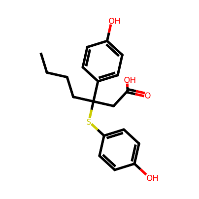 CCCCC(CC(=O)O)(Sc1ccc(O)cc1)c1ccc(O)cc1